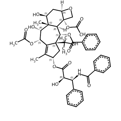 CC(=O)O[C@H]1C2=C(C)[C@@H](OC(=O)[C@H](O)[C@@H](NC(=O)c3ccccc3)c3ccccc3)C[C@@]2(C(C)(C)O)[C@@H](OC(=O)c2ccccc2)[C@@H]2[C@]3(OC(C)=O)CO[C@@H]3C[C@H](O)[C@@]2(C)[C@H]1O